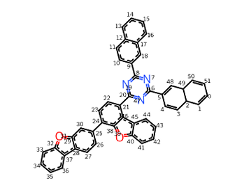 C1=CC2C=CC(c3nc(-c4ccc5ccccc5c4)nc(-c4ccc(-c5ccc6c(c5)oc5ccccc56)c5oc6ccccc6c45)n3)=CC2C=C1